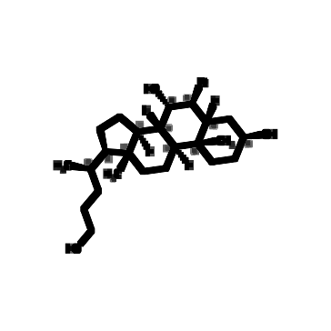 CC[C@@H]1[C@@H](O)[C@@H]2[C@H](CC[C@]3(C)[C@@H]([C@H](C)CCCO)CC[C@@H]23)[C@@]2(C)CC[C@H](O)C[C@@H]12